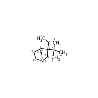 CCC1(C(C)(C)C)CN2CCC1CC2